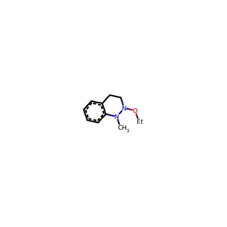 CCON1CCc2ccccc2N1C